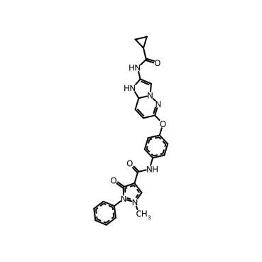 Cn1cc(C(=O)Nc2ccc(OC3=NN4C=C(NC(=O)C5CC5)NC4C=C3)cc2)c(=O)n1-c1ccccc1